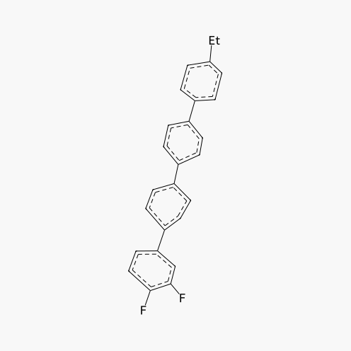 CCc1ccc(-c2ccc(-c3ccc(-c4ccc(F)c(F)c4)cc3)cc2)cc1